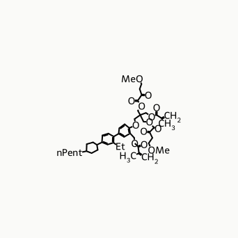 C=C(C)C(=O)OCc1cc(-c2ccc(C3CCC(CCCCC)CC3)cc2CC)ccc1OCC(COC(=O)C(=C)C)(COC(=O)C(=O)CCOC)COC(=O)C(=O)CCOC